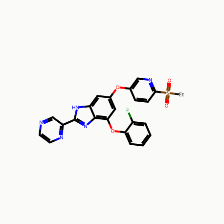 CCS(=O)(=O)c1ccc(Oc2cc(Oc3ccccc3F)c3nc(-c4cnccn4)[nH]c3c2)cn1